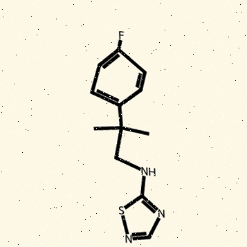 CC(C)(CNc1ncns1)c1ccc(F)cc1